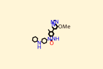 COc1cc(-c2cc3[nH]c(=O)n([C@H]4CC[C@@H](NC5CCCCC5)CC4)c3cc2C)cn2ncnc12